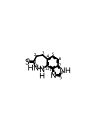 S=C1CCc2ccc3[nH]cnc3c2NN1